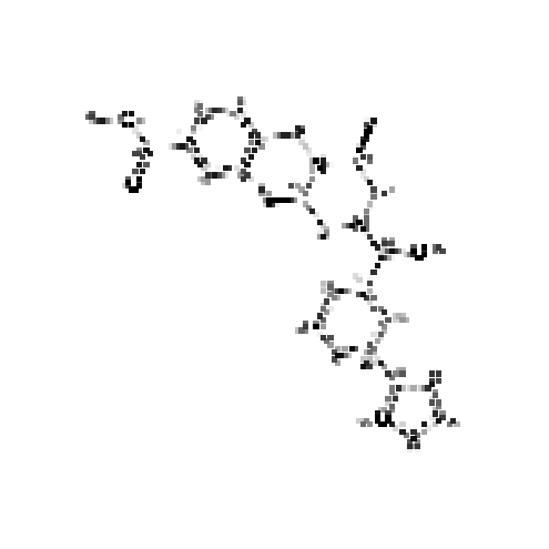 COC(=O)c1ccc(CN2[C@H](C)CN(C(=O)c3cccc(-c4ccco4)c3)C[C@@H]2C)cc1